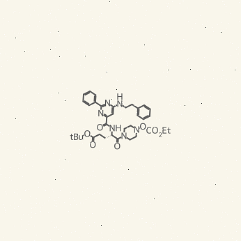 CCOC(=O)ON1CCN(C(=O)[C@H](CCC(=O)OC(C)(C)C)NC(=O)c2cc(NCCc3ccccc3)nc(-c3ccccc3)n2)CC1